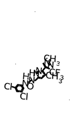 Cc1cc(CNC(=O)Nc2cc(Cl)cc(Cl)c2)nnc1-c1cn(C)nc1C(F)(F)F